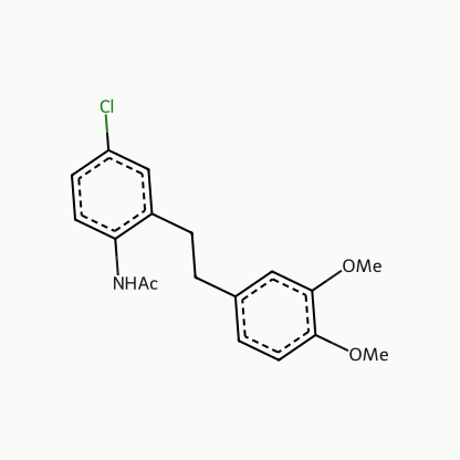 COc1ccc(CCc2cc(Cl)ccc2NC(C)=O)cc1OC